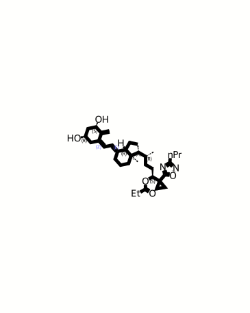 C=C1/C(=C\C=C2/CCC[C@]3(C)[C@@H]([C@H](C)CC[C@H](OC(=O)CC)C4(c5nc(CCC)no5)CC4)CC[C@@H]23)C[C@@H](O)C[C@@H]1O